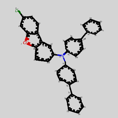 Clc1ccc2c(c1)oc1ccc(N(c3ccc(-c4ccccc4)cc3)c3ccc(-c4ccccc4)cc3)cc12